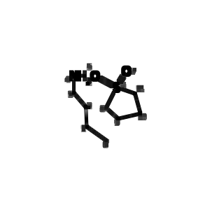 CCCCN.O=S1(=O)CCCC1